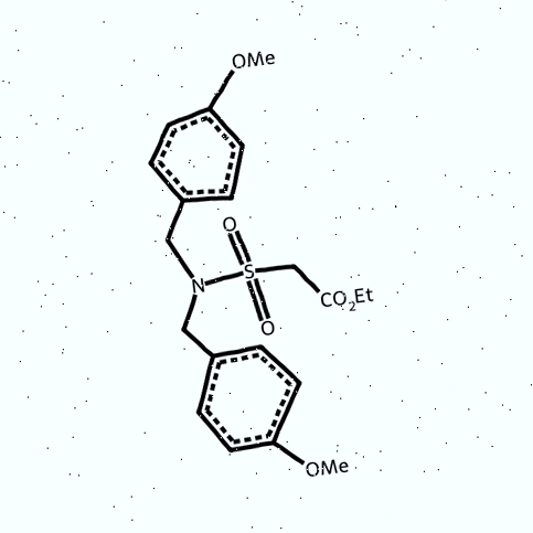 CCOC(=O)CS(=O)(=O)N(Cc1ccc(OC)cc1)Cc1ccc(OC)cc1